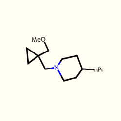 CCCC1CCN(CC2(COC)CC2)CC1